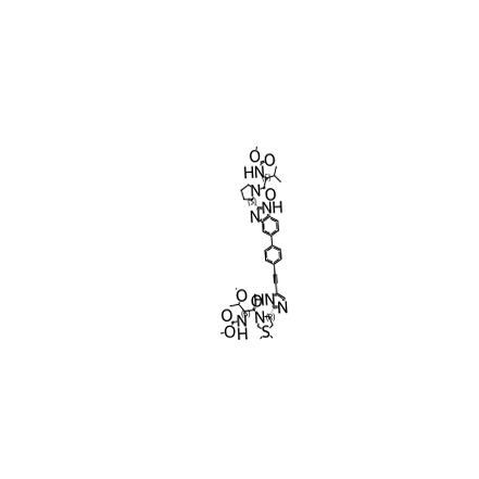 COC(=O)N[C@H](C(=O)N1CCC[C@H]1c1nc2cc(-c3ccc(C#Cc4cnc([C@@H]5CS(C)(C)CN5C(=O)[C@@H](NC(=O)OC)C(C)OC)[nH]4)cc3)ccc2[nH]1)C(C)C